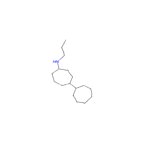 CCCNC1CCCC(C2CCCCCC2)CC1